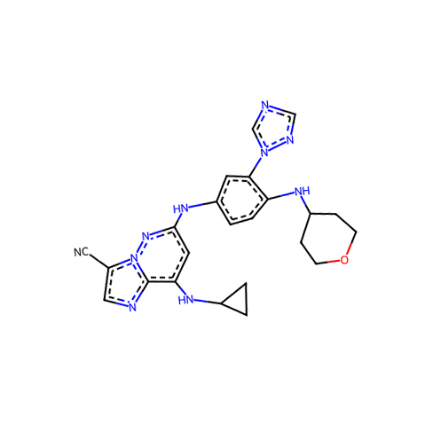 N#Cc1cnc2c(NC3CC3)cc(Nc3ccc(NC4CCOCC4)c(-n4cncn4)c3)nn12